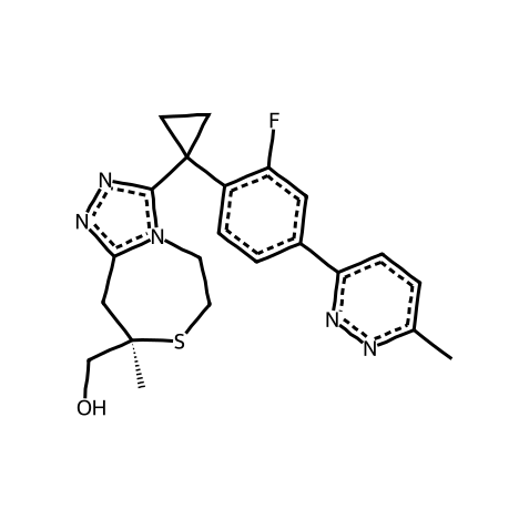 Cc1ccc(-c2ccc(C3(c4nnc5n4CCS[C@@](C)(CO)C5)CC3)c(F)c2)nn1